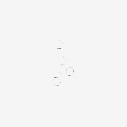 Cc1ccc(Nc2cncc3c2C(=O)N(OCC(=O)NO)CC3)c(F)c1